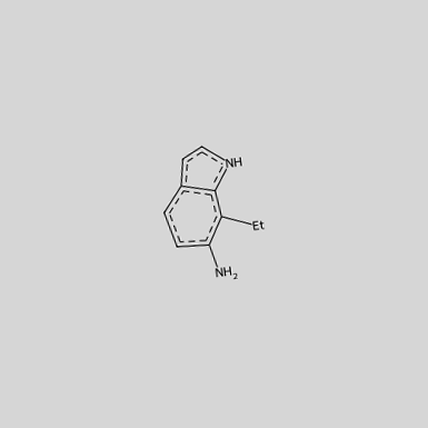 CCc1c(N)ccc2cc[nH]c12